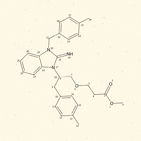 COC(=O)CCOC[C@H](Cc1ccc(C)cc1)n1c(=N)n(Cc2ccc(C)cc2)c2ccccc21